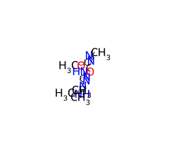 CCOc1cc2nc(C)cn2cc1C(=O)Nc1ccc(N2CC[C@@H](NC(C)(C)C)C2)nn1